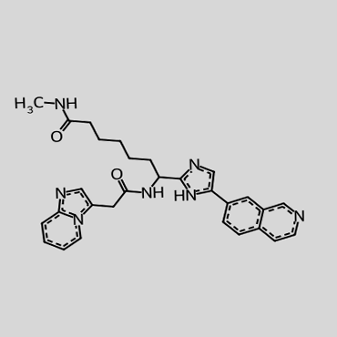 CNC(=O)CCCCCC(NC(=O)Cc1cnc2ccccn12)c1ncc(-c2ccc3ccncc3c2)[nH]1